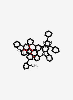 Cc1ccccc1-c1ccc2c(c1)c1cc(-c3ccccc3C)ccc1n2-c1c(-c2ccccc2-n2c3ccccc3c3ccccc32)cc(-c2nc(-c3ccccc3)nc(-c3ccccc3)n2)cc1-c1ccccc1-n1c2ccccc2c2ccccc21